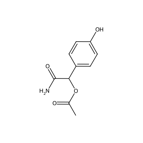 CC(=O)OC(C(N)=O)c1ccc(O)cc1